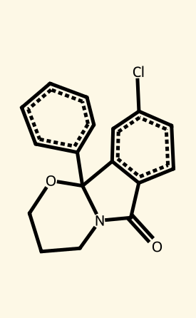 O=C1c2ccc(Cl)cc2C2(c3ccccc3)OCCCN12